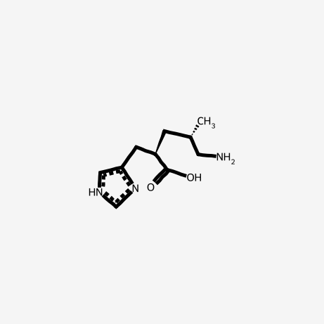 C[C@H](CN)C[C@H](Cc1c[nH]cn1)C(=O)O